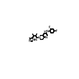 Cc1c(N2CCc3ncc(Nc4ccc(F)cc4F)cc3C2)nn2cnnc2c1C